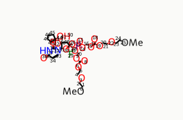 COCCOCCOC(=O)OCOP(=O)(OCOC(=O)OCCOCCOC)O[C@@]1(CF)O[C@@H](n2ccc(=O)[nH]c2=O)[C@](C)(OC2(O)CCCC2)[C@@H]1C